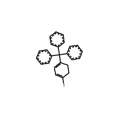 IC1=CC=C(C(c2ccccc2)(c2ccccc2)c2ccccc2)CC1